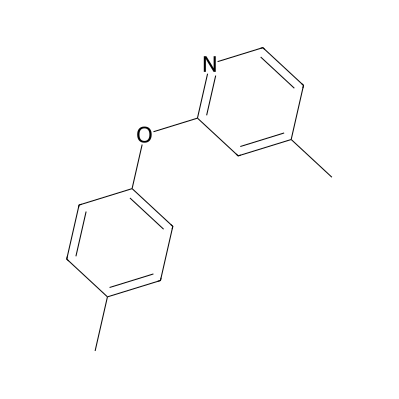 Cc1ccc(Oc2cc(C)ccn2)cc1